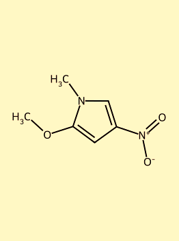 COc1cc([N+](=O)[O-])cn1C